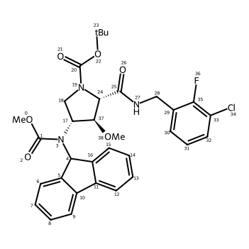 COC(=O)N(C1c2ccccc2-c2ccccc21)[C@@H]1CN(C(=O)OC(C)(C)C)[C@H](C(=O)NCc2cccc(Cl)c2F)[C@H]1OC